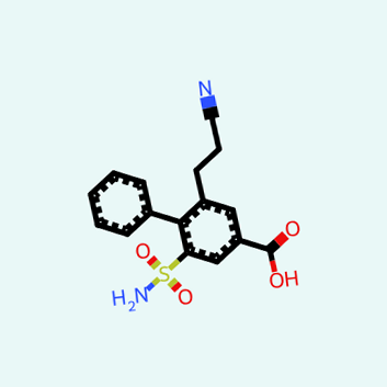 N#CCCc1cc(C(=O)O)cc(S(N)(=O)=O)c1-c1ccccc1